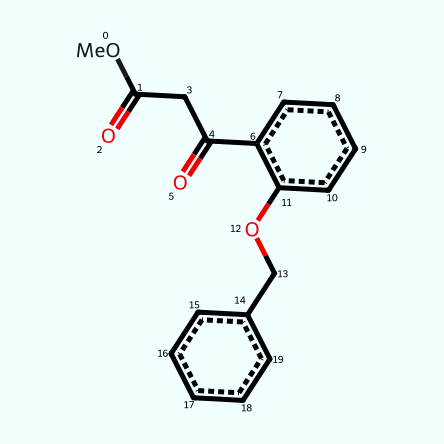 COC(=O)CC(=O)c1ccccc1OCc1ccccc1